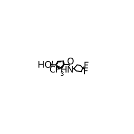 CC(O)(c1ccc(C(=O)NC2CCC(F)(F)CC2)cc1)C(F)(F)F